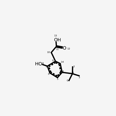 CC(C)(C)c1ccc(O)c(CC(=O)O)c1